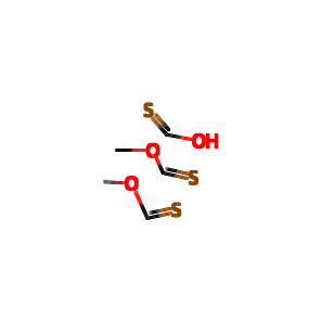 COC=S.COC=S.OC=S